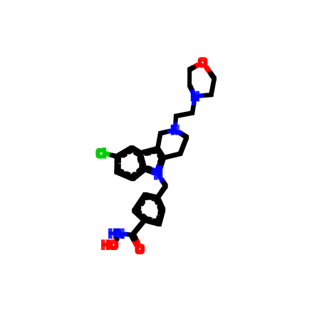 O=C(NO)c1ccc(Cn2c3c(c4cc(Cl)ccc42)CN(CCN2CCOCC2)CC3)cc1